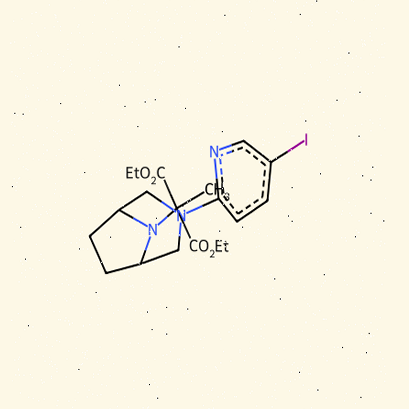 CCOC(=O)C(C)(C(=O)OCC)N1C2CCC1CN(c1ccc(I)cn1)C2